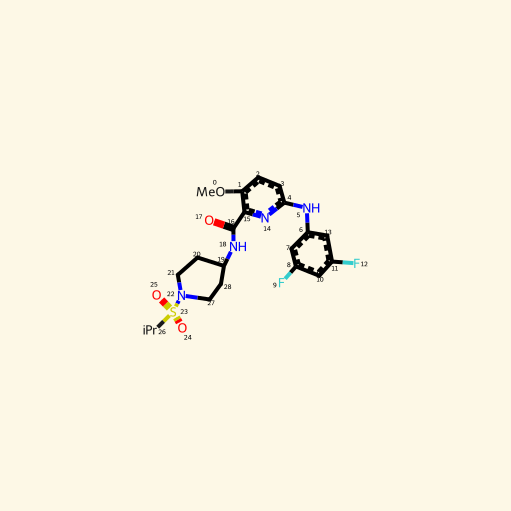 COc1ccc(Nc2cc(F)cc(F)c2)nc1C(=O)NC1CCN(S(=O)(=O)C(C)C)CC1